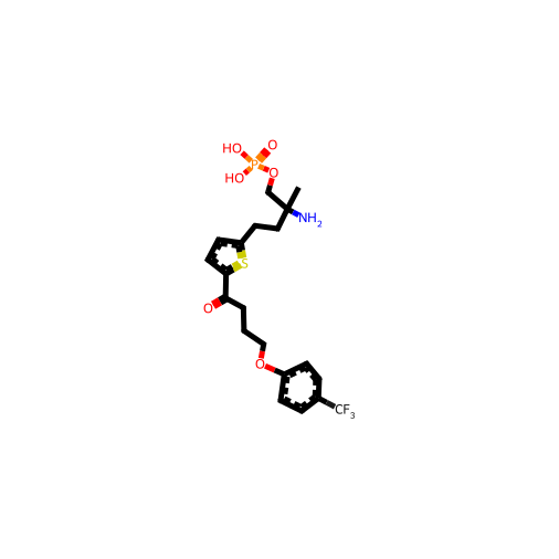 CC(N)(CCc1ccc(C(=O)CCCOc2ccc(C(F)(F)F)cc2)s1)COP(=O)(O)O